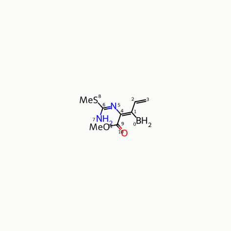 B/C(C=C)=C(/N=C(\N)SC)C(=O)OC